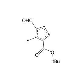 CC(C)(C)OC(=O)c1scc(C=O)c1F